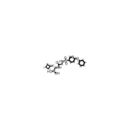 O=C(CNS(=O)(=O)c1ccc(Oc2ccccc2)nc1)N[C@@H](CC1CCC1)B(O)O